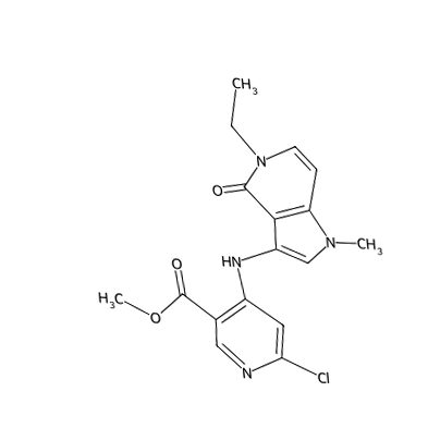 CCn1ccc2c(c(Nc3cc(Cl)ncc3C(=O)OC)cn2C)c1=O